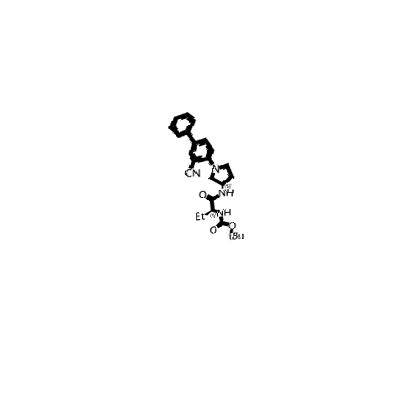 CC[C@H](NC(=O)OC(C)(C)C)C(=O)N[C@H]1CCN(c2ccc(-c3ccccc3)cc2C#N)C1